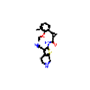 CCOc1c(C)cccc1C1CC1C(=O)Nc1sc2c(c1C#N)CCNC2